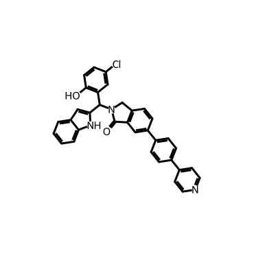 O=C1c2cc(-c3ccc(-c4ccncc4)cc3)ccc2CN1C(c1cc2ccccc2[nH]1)c1cc(Cl)ccc1O